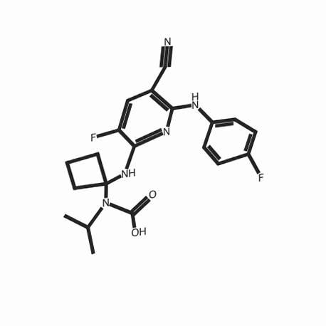 CC(C)N(C(=O)O)C1(Nc2nc(Nc3ccc(F)cc3)c(C#N)cc2F)CCC1